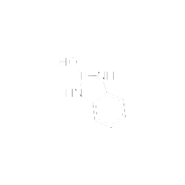 OP1Nc2ccccc2N1